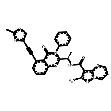 Cc1nc(C#Cc2cccc3nc([C@@H](C)NC(=O)c4c(N)nn5cccnc45)n(-c4ccccc4)c(=O)c23)cs1